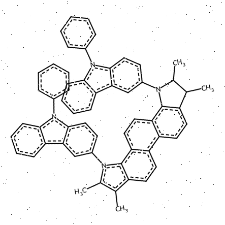 Cc1c(C)n(-c2ccc3c(c2)c2ccccc2n3-c2ccccc2)c2c1ccc1c3ccc4c(c3ccc12)N(c1ccc2c(c1)c1ccccc1n2-c1ccccc1)C(C)C4C